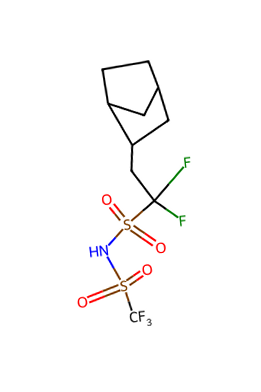 O=S(=O)(NS(=O)(=O)C(F)(F)CC1CC2CCC1C2)C(F)(F)F